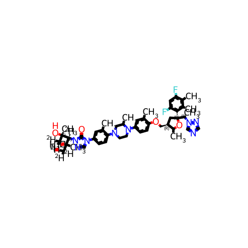 [2H]C([2H])([2H])C(C)(C)[C@]([2H])(n1ncn(-c2ccc(N3CCN(c4ccc(OC[C@H]5C[C@@](c6c(F)cc(F)c(C)c6C)([C@H](C)n6cncn6)OC5C)c(C)c4)C(C)C3)c(C)c2)c1=O)[C@@](C)(O)C([2H])([2H])[2H]